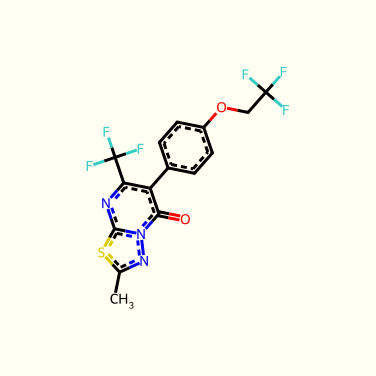 Cc1nn2c(=O)c(-c3ccc(OCC(F)(F)F)cc3)c(C(F)(F)F)nc2s1